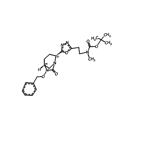 CN(CCc1nnc([C@@H]2CC[C@@H]3CN2C(=O)N3OCc2ccccc2)o1)C(=O)OC(C)(C)C